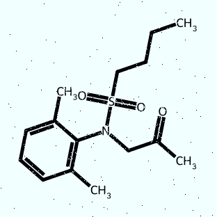 CCCCS(=O)(=O)N(CC(C)=O)c1c(C)cccc1C